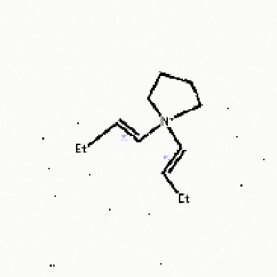 CC/C=C/[N+]1(/C=C/CC)CCCC1